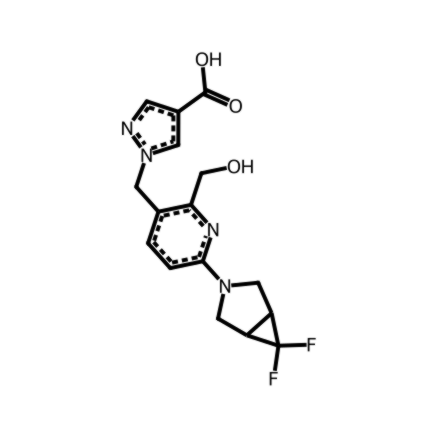 O=C(O)c1cnn(Cc2ccc(N3CC4C(C3)C4(F)F)nc2CO)c1